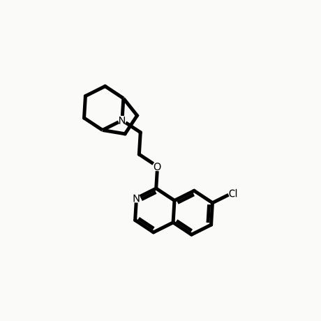 Clc1ccc2ccnc(OCCN3C4CCCC3CC4)c2c1